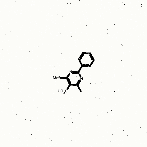 CSc1nc(-c2ccccc2)nc(C)c1C(=O)O